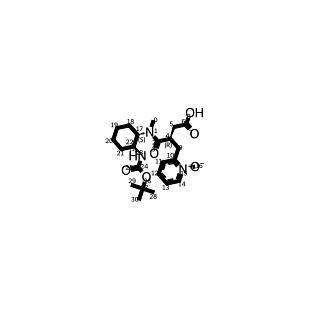 CN(C(=O)[C@@H](CC(=O)O)Cc1cccc[n+]1[O-])[C@H]1CCCC[C@@H]1NC(=O)OC(C)(C)C